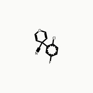 N#CC1(c2cc(F)ccc2Cl)C=COC=C1